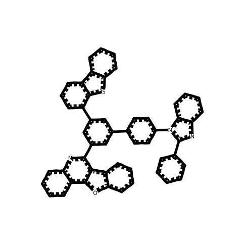 c1ccc(-c2nc3ccccc3n2-c2ccc(-c3cc(-c4cccc5c4sc4ccccc45)cc(-c4nc5ccccc5c5oc6ccccc6c45)c3)cc2)cc1